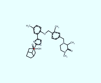 Cc1ccc(OCc2ccc(CN3CCN(C)C(=O)C3C)cc2C)c(-c2csc(N3CC4CCC(C3)C4C(=O)O)n2)c1